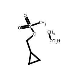 CC(=O)O.CS(=O)(=O)OCC1CC1